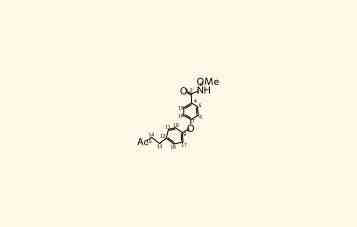 CONC(=O)c1ccc(Oc2ccc(CCC(C)=O)cc2)cc1